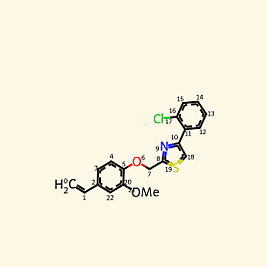 C=Cc1ccc(OCc2nc(-c3ccccc3Cl)cs2)c(OC)c1